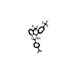 CC(C)c1ccc(C(=O)N[C@@H](c2ccc(C(F)(F)F)cc2)c2ncccc2C(F)(F)F)cc1